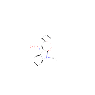 CC(=O)N1C(=O)/C(=C(/O)c2ccco2)c2ccccc21